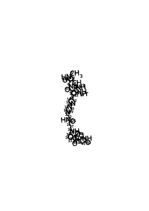 Cc1cc(C)c(CNC(=O)c2cc(-c3ccc(N4CCN(CCNC(=O)CCCNc5cccc6c5C(=O)N(C5CCC(=O)NC5=O)C6=O)CC4)nc3)cc(NC(C)C)c2C=N)c(=O)[nH]1